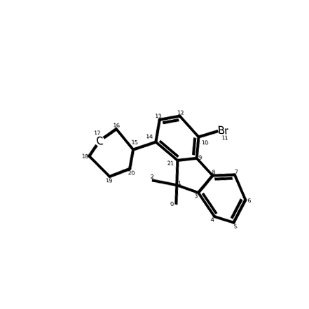 CC1(C)c2ccccc2-c2c(Br)ccc(C3CCCCC3)c21